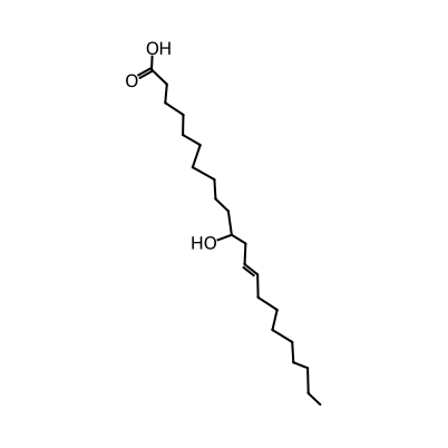 CCCCCCCCC=CCC(O)CCCCCCCCCC(=O)O